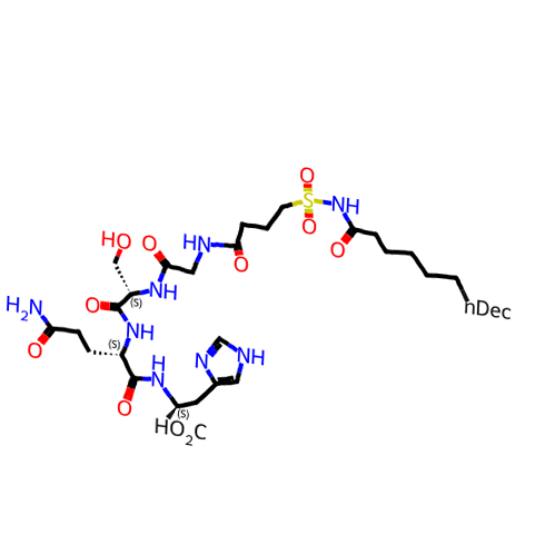 CCCCCCCCCCCCCCCC(=O)NS(=O)(=O)CCCC(=O)NCC(=O)N[C@@H](CO)C(=O)N[C@@H](CCC(N)=O)C(=O)N[C@@H](Cc1c[nH]cn1)C(=O)O